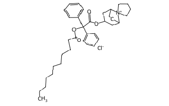 CCCCCCCCCCC(=O)OC(C(=O)OC1CC2CCC(C1)[N+]21CCCC1)(c1ccccc1)c1ccccc1.[Cl-]